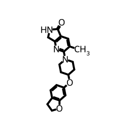 Cc1cc2c(nc1N1CCC(Oc3ccc4c(c3)OCC4)CC1)CNC2=O